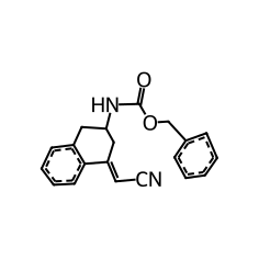 N#CC=C1CC(NC(=O)OCc2ccccc2)Cc2ccccc21